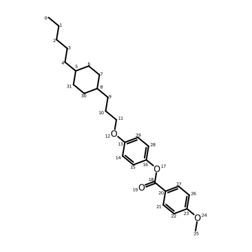 CCCCCC1CCC(CCCOc2ccc(OC(=O)c3ccc(OC)cc3)cc2)CC1